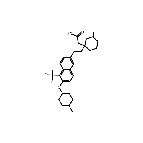 C[C@H]1CC[C@@H](Oc2ccc3cc(CC[C@]4(CC(=O)O)CCCNC4)ccc3c2C(F)(F)F)CC1